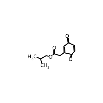 CC(C)COC(=O)CC1=CC(=O)C=CC1=O